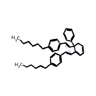 CCCCCCc1ccc(/C=C/C2=CC=CCC2(/C=C/c2ccc(CCCCCC)cc2)c2ccccc2)cc1